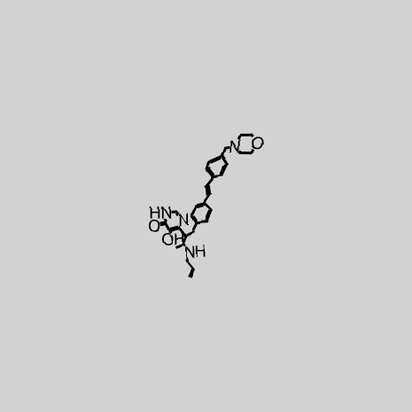 C=CCNC(C)C(Cc1ccc(C#Cc2ccc(CN3CCOCC3)cc2)cc1)c1nc[nH]c(=O)c1O